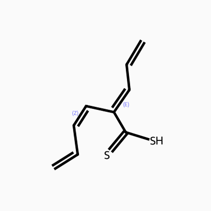 C=C/C=C\C(=C/C=C)C(=S)S